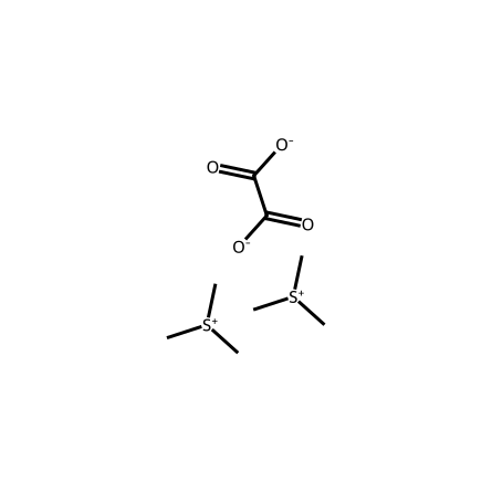 C[S+](C)C.C[S+](C)C.O=C([O-])C(=O)[O-]